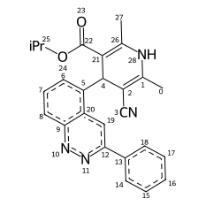 CC1=C(C#N)C(c2cccc3nnc(-c4ccccc4)cc23)C(C(=O)OC(C)C)=C(C)N1